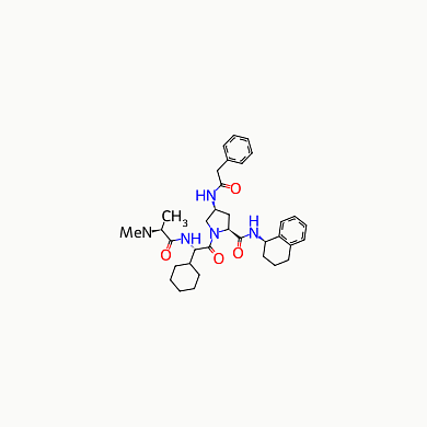 CN[C@@H](C)C(=O)N[C@H](C(=O)N1C[C@@H](NC(=O)Cc2ccccc2)C[C@H]1C(=O)N[C@@H]1CCCc2ccccc21)C1CCCCC1